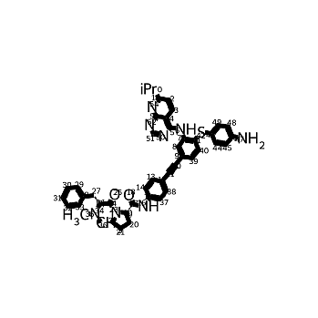 CC(C)c1ccc2c(Nc3cc(C#Cc4ccc(NC(=O)[C@@H]5CCCN5C(=O)[C@@H](Cc5ccccc5)N(C)C)cc4)ccc3Sc3ccc(N)cc3)ncnc2n1